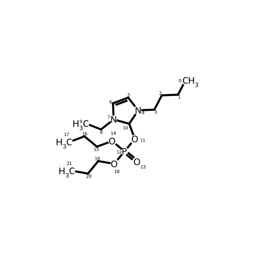 CCCCN1C=CN(CC)C1OP(=O)(OCCC)OCCC